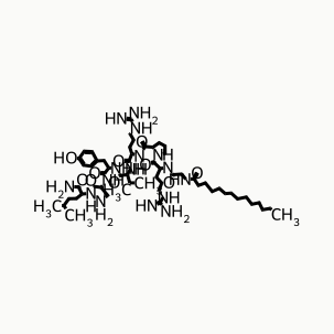 CCCCCCCCCCCCCC(=O)NCC(=O)NC(CCCNC(=N)N)C(=O)N1CCCC1C(=O)NC(CCCNC(=N)N)C(=O)NC(C(=O)NC(Cc1ccc(O)cc1)C(=O)NC(CN)C(=O)NC(CCC(C)C)C(N)=O)C(C)C